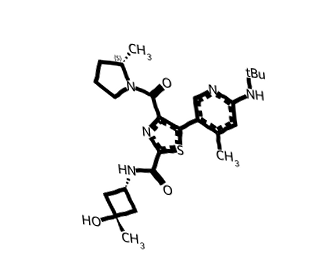 Cc1cc(NC(C)(C)C)ncc1-c1sc(C(=O)N[C@H]2C[C@@](C)(O)C2)nc1C(=O)N1CCC[C@@H]1C